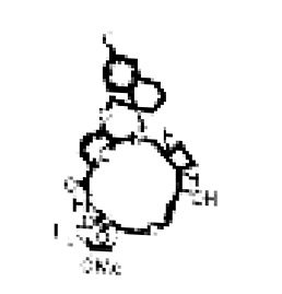 CO[C@H](C)C[C@H]1CC/C=C/[C@H](O)[C@@H]2CC[C@H]2CN2C[C@@]3(CCCc4cc(Cl)ccc43)COc3ccc(cc32)C(=O)NS1(=O)=O